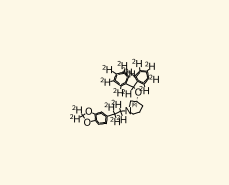 [2H]c1c([2H])c([2H])c(C([2H])(O[C@@H]2CCCN(C([2H])([2H])C([2H])([2H])c3ccc4c(c3)OC([2H])([2H])O4)C2)c2c([2H])c([2H])c([2H])c([2H])c2[2H])c([2H])c1[2H]